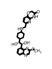 COc1cnc2cccc([C@@H](O)[C@H](O)C3CCC(NCc4ccc5c(n4)NC(=O)CO5)CC3)c2n1